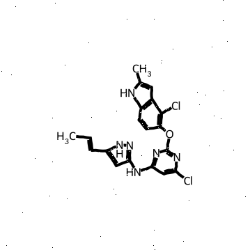 CC=Cc1cc(Nc2cc(Cl)nc(Oc3ccc4[nH]c(C)cc4c3Cl)n2)n[nH]1